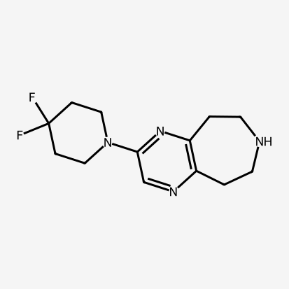 FC1(F)CCN(c2cnc3c(n2)CCNCC3)CC1